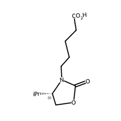 CC(C)[C@H]1COC(=O)N1CCCCC(=O)O